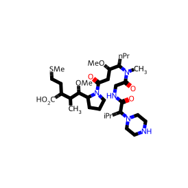 CCCC(C(CC(=O)N1CCCC1C(OC)C(C)C(CCSC)C(=O)O)OC)N(C)C(=O)CNC(=O)C(C(C)C)N1CCNCC1